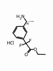 CCOC(=O)C(F)(F)c1cccc([C@@H](C)N)c1.Cl